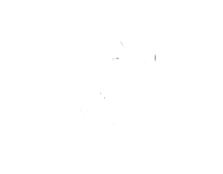 O=C(N[C@H](CC(F)(F)F)C(=O)O)OCC1c2ccccc2-c2ccccc21